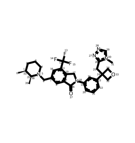 C[C@H]1CCCN(Cc2cc3c(c(C(F)(F)F)c2)CN(c2cccc(C4(Cc5nncn5C)COC4)c2)C3=O)[C@H]1C